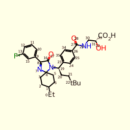 CCC1CCC2(CC1)N=C(c1cccc(F)c1)C(=O)N2[C@H](CCC(C)(C)C)c1ccc(C(=O)NC[C@@H](O)C(=O)O)cc1